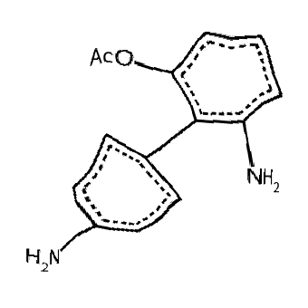 CC(=O)Oc1cccc(N)c1-c1ccc(N)cc1